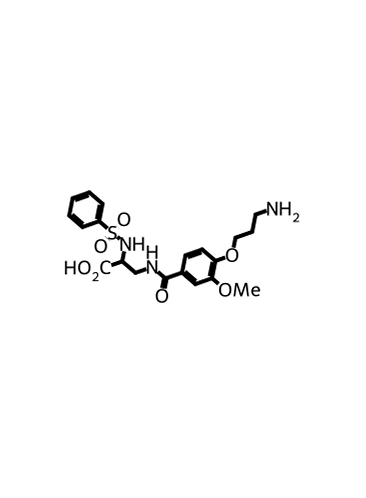 COc1cc(C(=O)NCC(NS(=O)(=O)c2ccccc2)C(=O)O)ccc1OCCCN